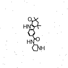 CC1(C)CC(C)(C)c2c([nH]c3ccc(C(=O)N[C@@H]4CCCNC4)cc23)C1=O